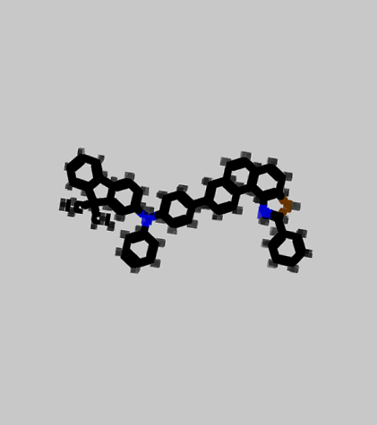 CC1(C)c2ccccc2-c2ccc(N(c3cc#ccc3)c3ccc(-c4ccc5c(ccc6ccc7sc(-c8ccccc8)nc7c65)c4)cc3)cc21